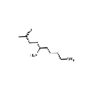 CC(=O)CCC(N)CCCCN